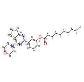 CCCCCCCCCC(=O)Oc1cccc(-c2nc(N3CCOCC3)c3sccc3n2)c1